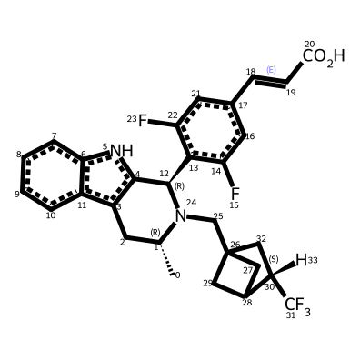 C[C@@H]1Cc2c([nH]c3ccccc23)[C@@H](c2c(F)cc(/C=C/C(=O)O)cc2F)N1CC12CC(C1)[C@@H](C(F)(F)F)C2